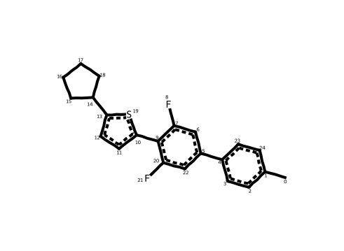 Cc1ccc(-c2cc(F)c(-c3ccc(C4CCCC4)s3)c(F)c2)cc1